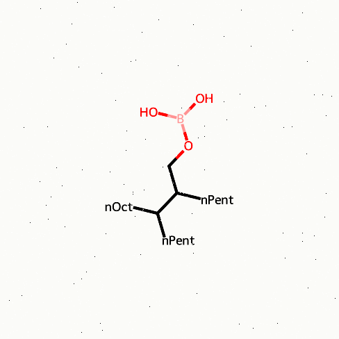 CCCCCCCCC(CCCCC)C(CCCCC)COB(O)O